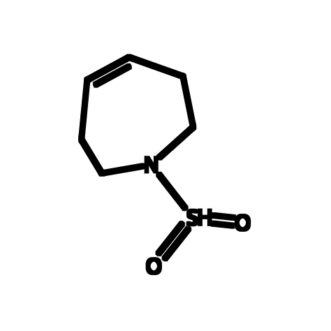 O=[SH](=O)N1CCC=CCC1